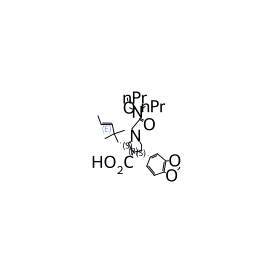 C/C=C/C(C)(C)C[C@H]1[C@H](C(=O)O)[C@@H](c2ccc3c(c2)OCO3)CN1CC(=O)N(CCC)OCCC